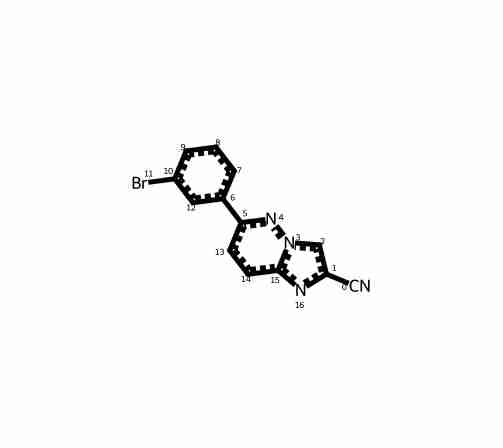 N#Cc1cn2nc(-c3cccc(Br)c3)ccc2n1